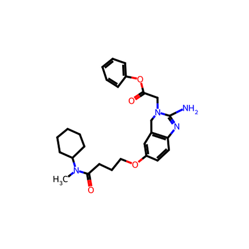 CN(C(=O)CCCOc1ccc2c(c1)CN(CC(=O)Oc1ccccc1)C(N)=N2)C1CCCCC1